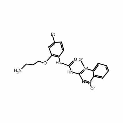 CCc1ccc(NC(=O)Nc2n[n+]([O-])c3ccccc3[n+]2[O-])c(OCCCN)c1